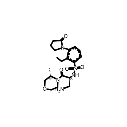 CCc1c(N2CCCC2=O)cccc1S(=O)(=O)N[C@@H](CN)C(=O)N1CCOC[C@@H]1C